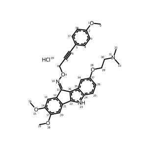 COc1ccc(C#CCO/N=C2/c3cc(OC)c(OC)cc3-c3[nH]c4ccc(OCCN(C)C)cc4c32)cc1.Cl